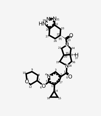 O=C(c1cnc(OC2CCCOC2)c(C2CC2)c1)N1CC2CN(C(=O)[C@@H]3CCc4[nH]nnc4C3)C[C@H]2C1